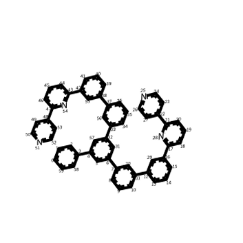 c1ccc(-c2cc(-c3cccc(-c4cccc(-c5cccc(-c6ccncc6)n5)c4)c3)cc(-c3cccc(-c4cccc(-c5cccc(-c6ccncc6)n5)c4)c3)c2)cc1